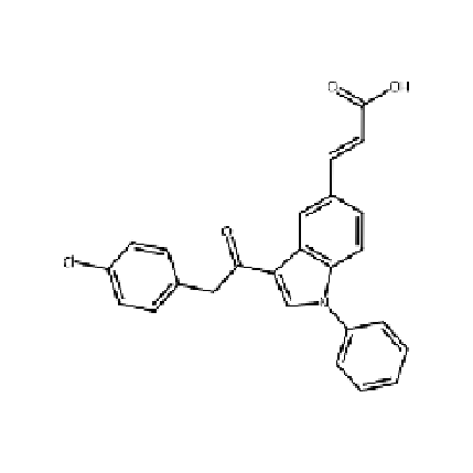 O=C(O)/C=C/c1ccc2c(c1)c(C(=O)Cc1ccc(Cl)cc1)cn2-c1ccccc1